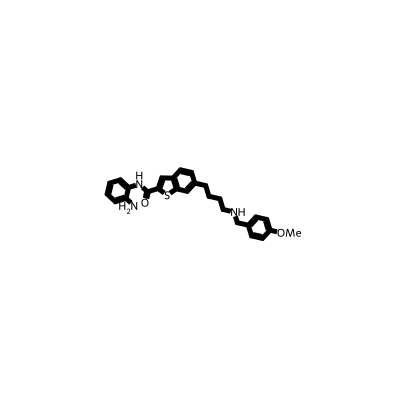 COc1ccc(CNCCCCc2ccc3cc(C(=O)Nc4ccccc4N)sc3c2)cc1